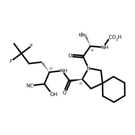 CC(F)(F)CC[C@H](NC(=O)[C@@H]1CC2(CCCCC2)CN1C(=O)[C@@H](NC(=O)O)C(C)(C)C)C(O)C#N